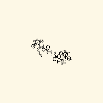 CC(COC(=O)CCCCC(=O)OCC(C)N1C(=O)C=CC1=O)N1C(=O)C=CC1=O